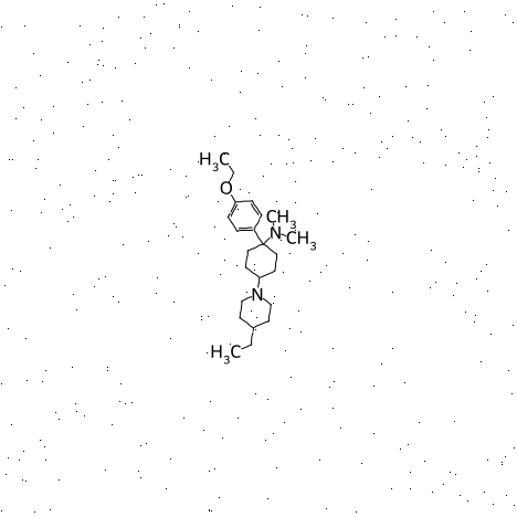 CCOc1ccc(C2(N(C)C)CCC(N3CCC(CC)CC3)CC2)cc1